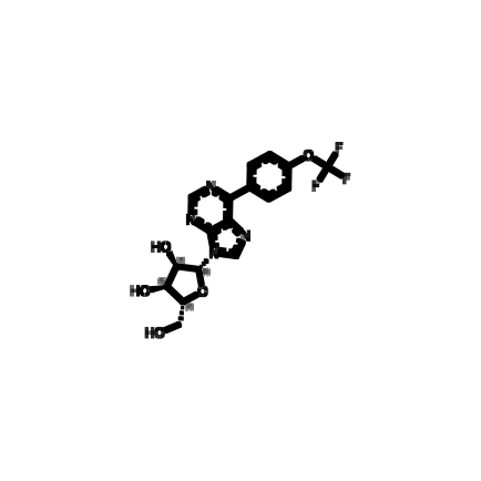 OC[C@H]1O[C@@H](n2cnc3c(-c4ccc(OC(F)(F)F)cc4)ncnc32)[C@H](O)[C@@H]1O